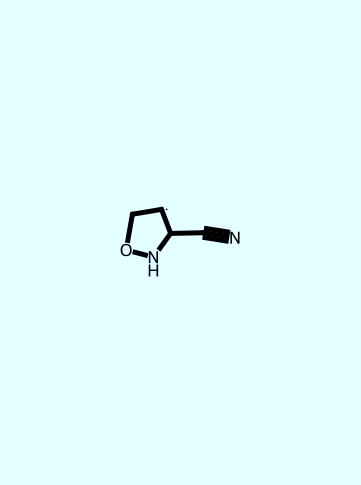 N#CC1[CH]CON1